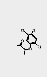 CC(=O)C(C)Oc1cc(Cl)c(Cl)cc1Cl